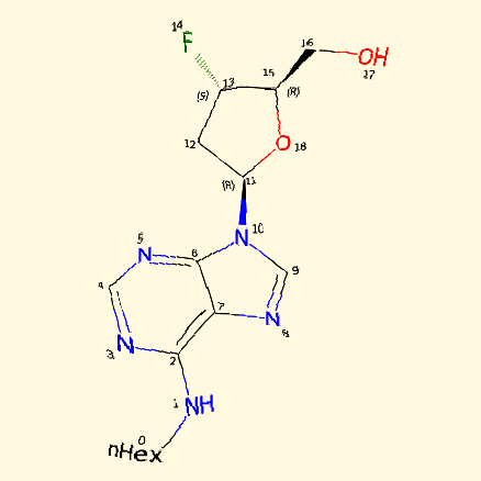 CCCCCCNc1ncnc2c1ncn2[C@H]1C[C@H](F)[C@@H](CO)O1